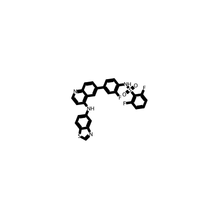 O=S(=O)(Nc1ccc(-c2ccc3nccc(Nc4ccc5scnc5c4)c3c2)cc1F)c1c(F)cccc1F